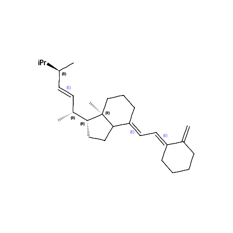 C=C1CCCC/C1=C\C=C1/CCC[C@@]2(C)C1CC[C@@H]2[C@H](C)/C=C/[C@H](C)C(C)C